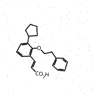 O=C(O)C=Cc1cccc(C2CCCC2)c1OCCc1ccccc1